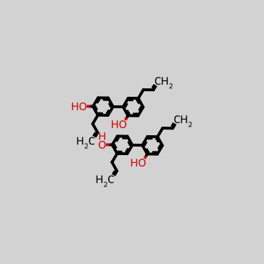 C=CCc1ccc(O)c(-c2ccc(O)c(CC=C)c2)c1.C=CCc1ccc(O)c(-c2ccc(O)c(CC=C)c2)c1